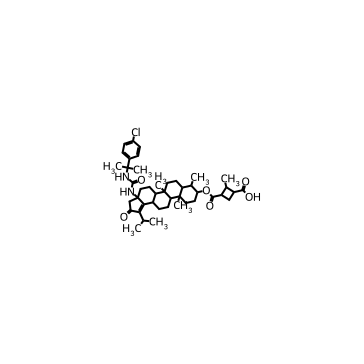 CC(C)C1=C2C3CCC4C(C)(CCC5C(C)C(OC(=O)C6CC(C(=O)O)C6C)CCC54C)C3CCC2(NC(=O)NC(C)(C)c2ccc(Cl)cc2)CC1=O